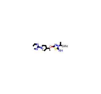 C/C=N\C(=N/C)N1CCC([C@H](C)Oc2nn(C(C)SC)c(=N)s2)CC1